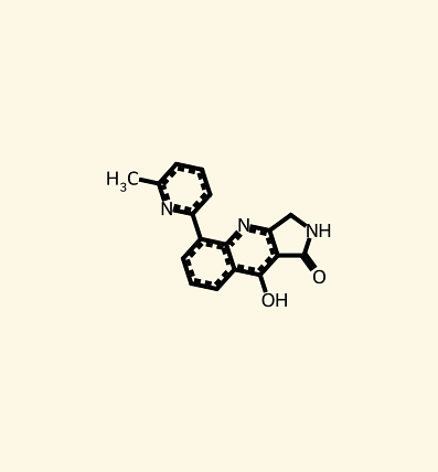 Cc1cccc(-c2cccc3c(O)c4c(nc23)CNC4=O)n1